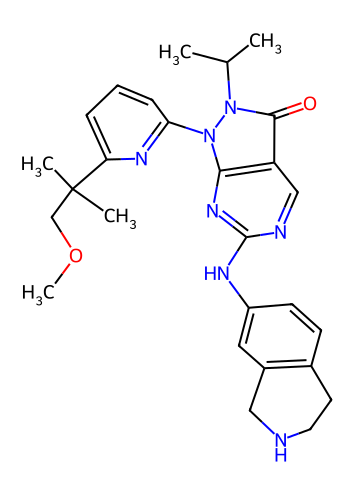 COCC(C)(C)c1cccc(-n2c3nc(Nc4ccc5c(c4)CNCC5)ncc3c(=O)n2C(C)C)n1